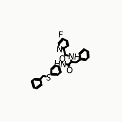 O=C(NC(Cc1ccccc1)C(=O)Nc1ccc(SCc2ccccc2)cc1)c1ccc(F)cn1